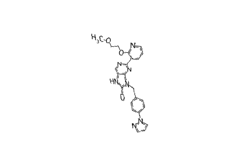 COCCOc1ncccc1-c1ncc2[nH]c(=O)n(Cc3ccc(-n4cccn4)cc3)c2n1